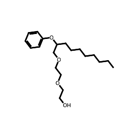 CCCCCCCCC(COCCOCCO)Oc1ccccc1